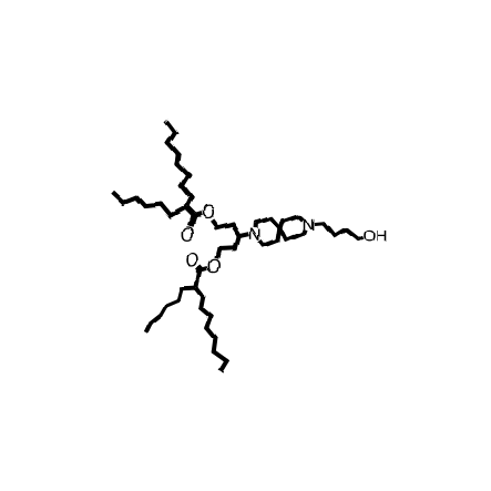 CCCCCCCCC(CCCCCC)C(=O)OCCC(CCOC(=O)C(CCCCCC)CCCCCCCC)N1CCC2(CCN(CCCCO)CC2)CC1